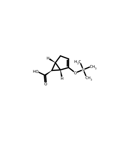 C[Si](C)(C)OC1=CC[C@H]2[C@H](C(=O)O)[C@@H]12